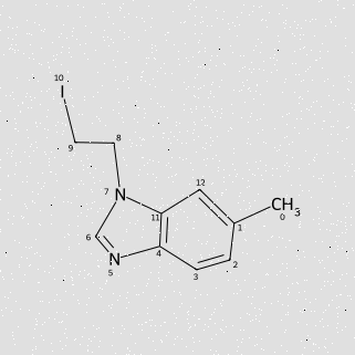 Cc1ccc2ncn(CCI)c2c1